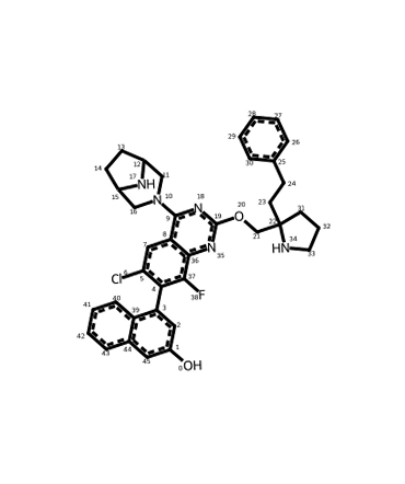 Oc1cc(-c2c(Cl)cc3c(N4CC5CCC(C4)N5)nc(OCC4(CCc5ccccc5)CCCN4)nc3c2F)c2ccccc2c1